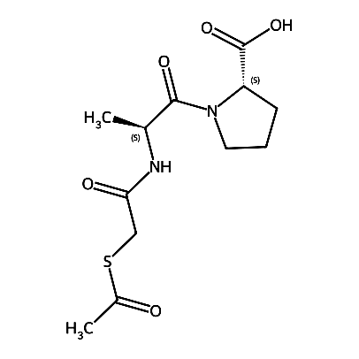 CC(=O)SCC(=O)N[C@@H](C)C(=O)N1CCC[C@H]1C(=O)O